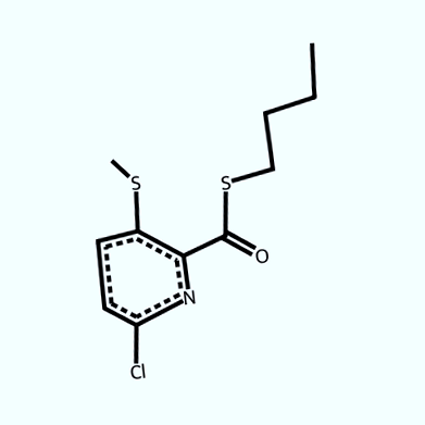 CCCCSC(=O)c1nc(Cl)ccc1SC